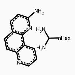 CCCCCCC(N)N.Nc1ccc2ccc3ncccc3c2n1